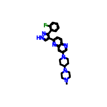 CN1CCN(C2CCN(c3cnc4ccc(-c5c[nH]nc5-c5ccccc5F)nc4c3)CC2)CC1